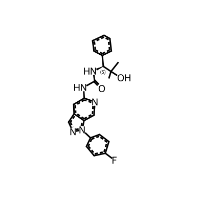 CC(C)(O)[C@@H](NC(=O)Nc1cc2cnn(-c3ccc(F)cc3)c2cn1)c1ccccc1